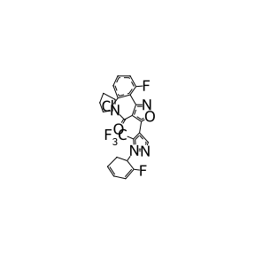 O=C(c1c(-c2c(F)cccc2Cl)noc1-c1cnn(C2CC=CC=C2F)c1C(F)(F)F)N1CCCC1